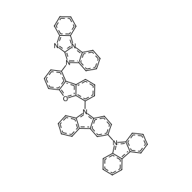 c1ccc2c(c1)nc1n(-c3cccc4oc5c(-n6c7ccccc7c7cc(-n8c9ccccc9c9ccccc98)ccc76)cccc5c34)c3ccccc3n21